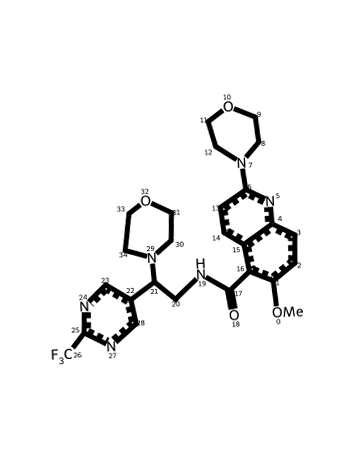 COc1ccc2nc(N3CCOCC3)ccc2c1C(=O)NCC(c1cnc(C(F)(F)F)nc1)N1CCOCC1